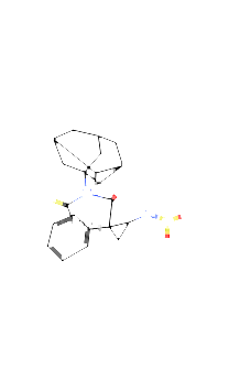 CNC(=S)N(C(=O)C1(c2ccccc2)CC1N=S(=O)=O)C12CC3CC(C1)C(C)C(C3)C2